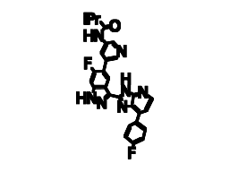 CC(C)C(=O)Nc1cncc(-c2cc3c(-c4nc5c(-c6ccc(F)cc6)ccnc5[nH]4)n[nH]c3cc2F)c1